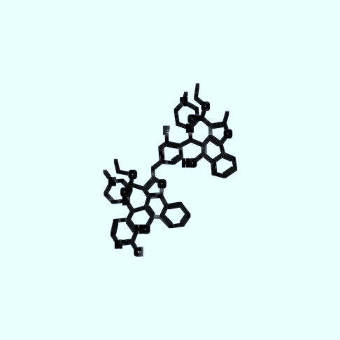 CCOC(=O)c1c(Cc2ccc(C(c3c(O)c4ccccc4c4oc(C)c(C(=O)OCC)c34)N3CCN(C)CC3)c(F)c2)oc2c1c(C(c1ccnc(Cl)c1)N1CCN(C)CC1)c(O)c1ccccc12